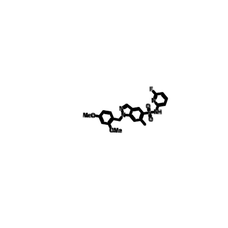 COc1ccc(Cn2ncc3cc(S(=O)(=O)Nc4cccc(F)n4)c(C)cc32)c(OC)c1